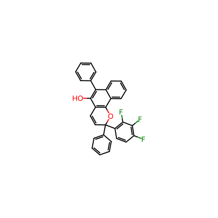 Oc1c2c(c3ccccc3c1-c1ccccc1)OC(c1ccccc1)(c1ccc(F)c(F)c1F)C=C2